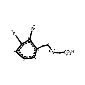 O=C(O)NCc1cccc(F)c1Br